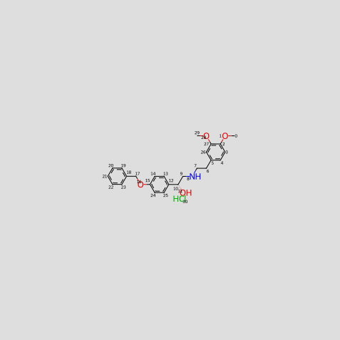 COc1ccc(CCNC[C@H](O)c2ccc(OCc3ccccc3)cc2)cc1OC.Cl